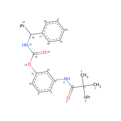 CCCC(C)(C)C(=O)Nc1cccc(OC(=O)NC(c2ccccc2)C(C)C)c1